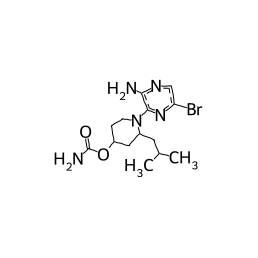 CC(C)CC1CC(OC(N)=O)CCN1c1nc(Br)cnc1N